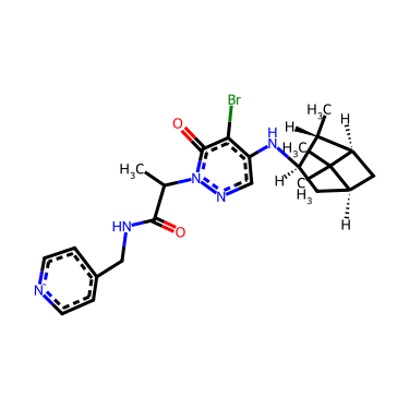 CC(C(=O)NCc1ccncc1)n1ncc(N[C@@H]2C[C@@H]3C[C@H]([C@H]2C)C3(C)C)c(Br)c1=O